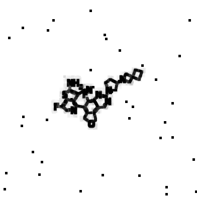 N#Cc1c(N)sc2c(F)cnc(-c3c4c(c5cnc(N6CC[C@@H](N7CC8(CCC8)C7)C6)nc5c3F)COC4)c12